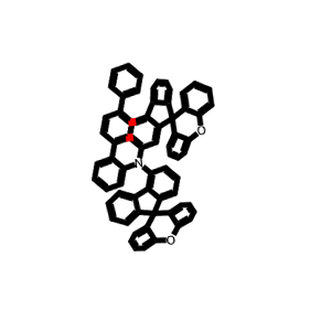 c1ccc(-c2ccc(-c3ccccc3N(c3ccc4c(c3)C3(c5ccccc5Oc5ccccc53)c3ccccc3-4)c3cccc4c3-c3ccccc3C43c4ccccc4Oc4ccccc43)cc2)cc1